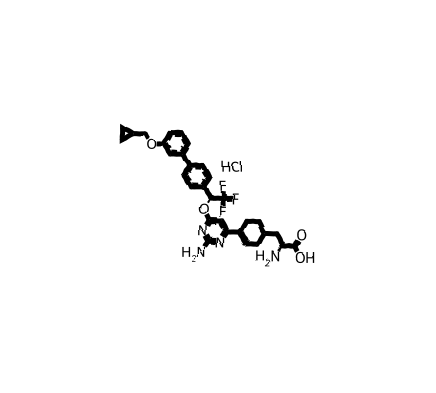 Cl.Nc1nc(O[C@H](c2ccc(-c3cccc(OCC4CC4)c3)cc2)C(F)(F)F)cc(C2=CCC(C[C@H](N)C(=O)O)CC2)n1